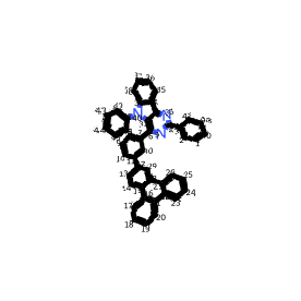 c1ccc(-c2nc(-c3cccc(-c4ccc5c6ccccc6c6ccccc6c5c4)c3)c3c(n2)c2ccccc2n3-c2ccccc2)cc1